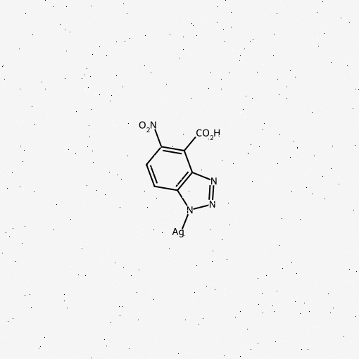 O=C(O)c1c([N+](=O)[O-])ccc2c1nn[n]2[Ag]